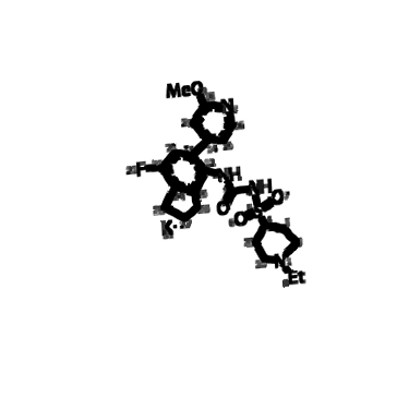 CCN1CCC(S(=O)(=O)NC(=O)Nc2c(-c3ccnc(OC)c3)cc(F)c3c2CCC3)CC1.[K]